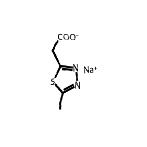 Cc1nnc(CC(=O)[O-])s1.[Na+]